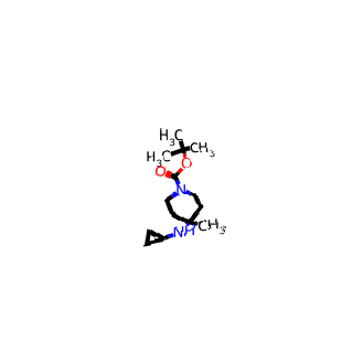 CC1(NC2CC2)CCN(C(=O)OC(C)(C)C)CC1